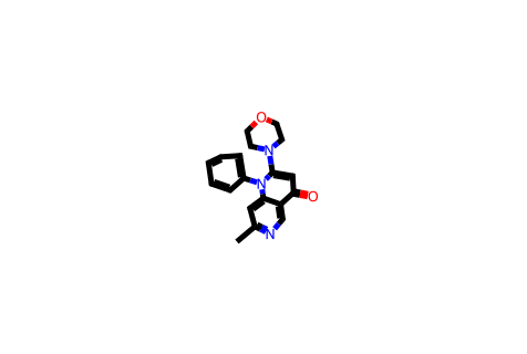 Cc1cc2c(cn1)c(=O)cc(N1CCOCC1)n2-c1ccccc1